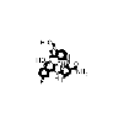 CCn1ncc2cc(Nc3nc(N[C@H](c4cccc(F)c4)[C@H](C)NC(=O)O)c(F)cc3C(N)=O)ccc21